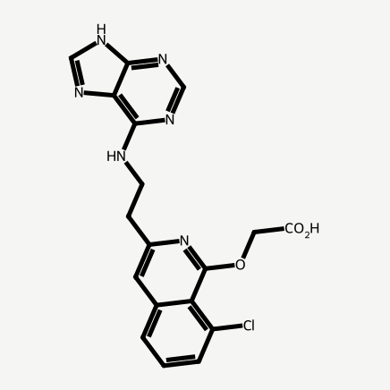 O=C(O)COc1nc(CCNc2ncnc3[nH]cnc23)cc2cccc(Cl)c12